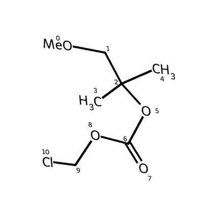 COCC(C)(C)OC(=O)OCCl